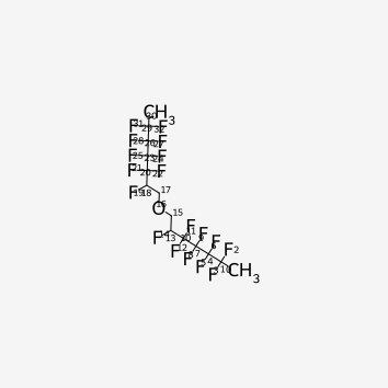 CC(F)(F)C(F)(F)C(F)(F)C(F)(F)C(F)COCC(F)C(F)(F)C(F)(F)C(F)(F)C(C)(F)F